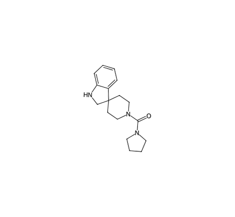 O=C(N1CCCC1)N1CCC2(CC1)CNc1ccccc12